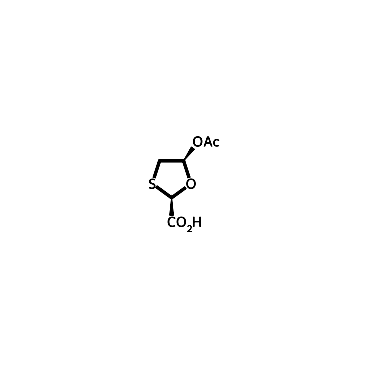 CC(=O)O[C@@H]1CS[C@H](C(=O)O)O1